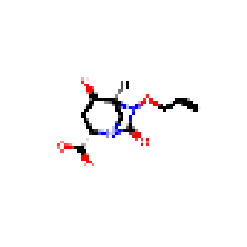 C=CCON1C(=O)N2C[C@H]1C(=O)C[C@H]2C(=O)O